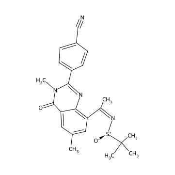 C/C(=N/[S@+]([O-])C(C)(C)C)c1cc(C)cc2c(=O)n(C)c(-c3ccc(C#N)cc3)nc12